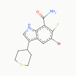 NC(=O)c1c(F)c(Br)cc2c(C3CCSCC3)c[nH]c12